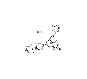 CC(CC(COc1ccncn1)c1ccc(F)cc1)N1CCC(c2ccccc2)CC1.Cl